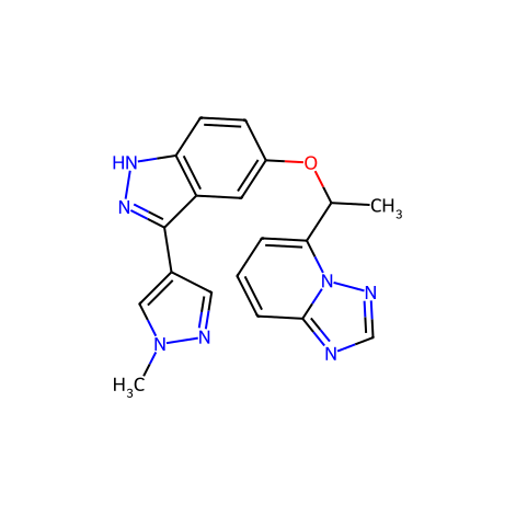 CC(Oc1ccc2[nH]nc(-c3cnn(C)c3)c2c1)c1cccc2ncnn12